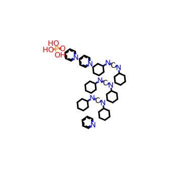 C(=NC1CCCCC1)=NC1CCCCC1.C(=NC1CCCCC1)=NC1CCCCC1.C(=NC1CCCCC1)=NC1CCCCC1.O=P(O)(O)O.c1ccncc1.c1ccncc1.c1ccncc1